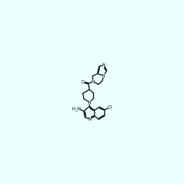 Nc1cnc2ccc(Cl)cc2c1N1CCC(C(=O)N2CCn3cncc3C2)CC1